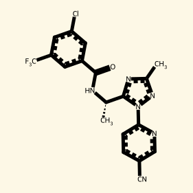 Cc1nc([C@H](C)NC(=O)c2cc(Cl)cc(C(F)(F)F)c2)n(-c2ccc(C#N)cn2)n1